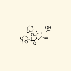 C#CCC[C@@H](C(=O)C(C)(C)[C@@H]1CCOC(C)(C)O1)C(OC1CCCCO1)[C@@H](C)CCCC(C)O